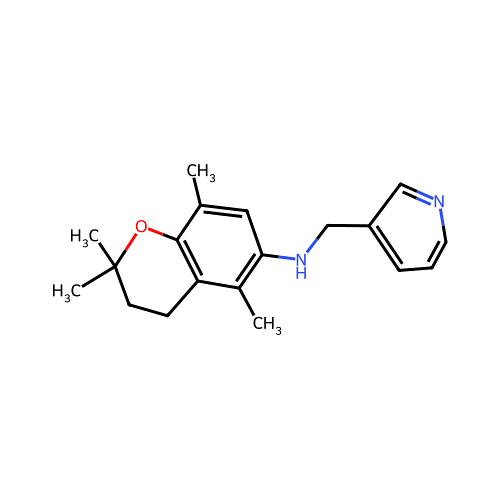 Cc1cc(NCc2cccnc2)c(C)c2c1OC(C)(C)CC2